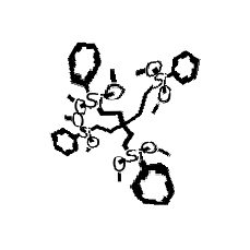 CO[Si](CCC(CC[Si](OC)(OC)c1ccccc1)(CC[Si](OC)(OC)c1ccccc1)CC[Si](OC)(OC)c1ccccc1)(OC)c1ccccc1